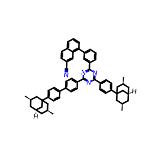 C[C@@H]1C[C@@H]2C[C@H](C)CC(c3ccc(-c4ccc(-c5nc(-c6ccc(C78C[C@H](C)C[C@H](C[C@H](C)C7)C8)cc6)nc(-c6cccc(-c7cccc8ccc(C#N)cc78)c6)n5)cc4)cc3)(C1)C2